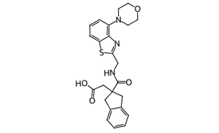 O=C(O)CC1(C(=O)NCc2nc3c(N4CCOCC4)cccc3s2)Cc2ccccc2C1